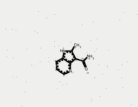 Cc1[nH]c2cccnc2c1C(N)=O